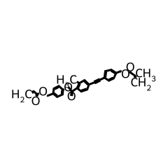 C=CC(=O)OCc1ccc(OC(=O)c2ccc(C#Cc3ccc(COC(=O)C(=C)C)cc3)cc2C)cc1